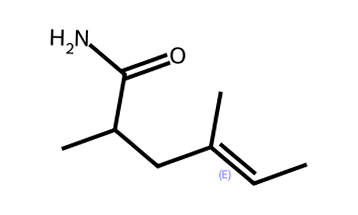 C/C=C(\C)CC(C)C(N)=O